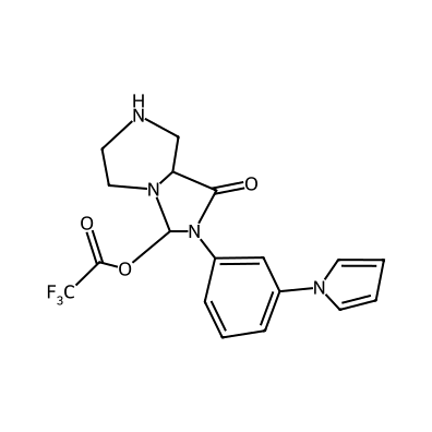 O=C1C2CNCCN2C(OC(=O)C(F)(F)F)N1c1cccc(-n2cccc2)c1